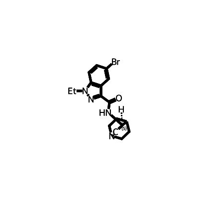 CCn1nc(C(=O)N[C@@H]2CN3CCC2CC3)c2cc(Br)ccc21